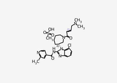 CS(=O)(=O)O.Cc1cc(C(=O)Nc2nc3cccc(Cl)c3n2[C@@H]2CCCCN(C(=O)/C=C/CN(C)C)C2)ccn1